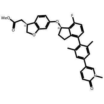 COC(=O)C[C@@H]1COc2cc(O[C@@H]3CCc4c(-c5c(C)cc(-c6ccc(=O)n(C)c6)cc5C)ccc(F)c43)ccc21